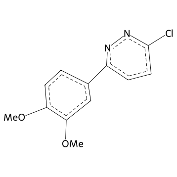 COc1ccc(-c2ccc(Cl)nn2)cc1OC